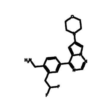 NCc1ccc(-c2ncnn3cc(N4CCOCC4)cc23)cc1CC(F)F